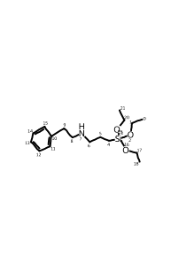 CCO[Si](CCCNCCc1ccccc1)(OCC)OCC